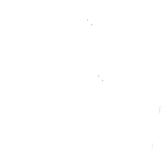 CCCc1ccncc1-c1nc(-c2ccc(F)c(F)c2)cs1